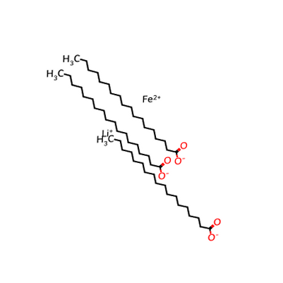 CCCCCCCCCCCCCCCCCC(=O)[O-].CCCCCCCCCCCCCCCCCC(=O)[O-].CCCCCCCCCCCCCCCCCC(=O)[O-].[Fe+2].[Li+]